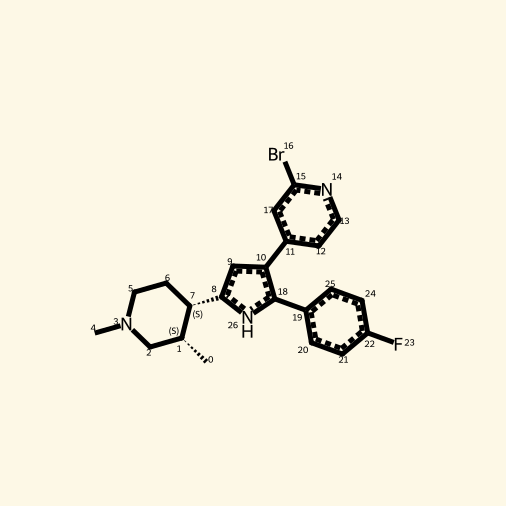 C[C@@H]1CN(C)CC[C@@H]1c1cc(-c2ccnc(Br)c2)c(-c2ccc(F)cc2)[nH]1